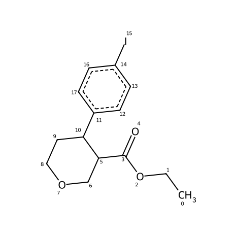 CCOC(=O)C1COCCC1c1ccc(I)cc1